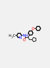 Cc1ccc(NC(=O)C(CC2CCCC2)c2ccc(Oc3ccccc3)cc2)nc1